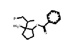 CC(C)CC(C)C1(C(=O)O)CCCC1OC(=O)c1ccccc1